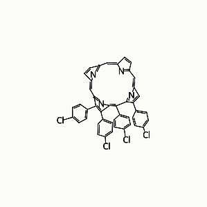 Clc1ccc(C2=CC3=CC4=NC(=CC5=NC(=CC6=NC(=C(c7ccc(Cl)cc7)C2=N3)C(c2ccc(Cl)cc2)=C6c2ccc(Cl)cc2)C=C5)C=C4)cc1